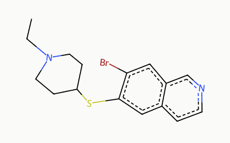 CCN1CCC(Sc2cc3ccncc3cc2Br)CC1